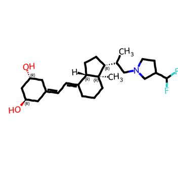 CC(CN1CCC(C(F)F)C1)[C@H]1CC[C@H]2C(=CC=C3C[C@@H](O)C[C@H](O)C3)CCC[C@]12C